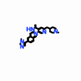 C=C(Nc1cc2cc(-c3cncn3C)ccc2cn1)c1ccnc(CC2CCN(C)CC2)c1